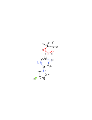 CC1(C)OB(C2=CNC(N3CC[C@H](F)C3)C=N2)OC1(C)C